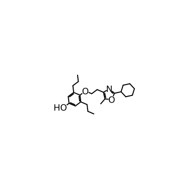 CCCc1cc(O)cc(CCC)c1OCCc1nc(C2CCCCC2)oc1C